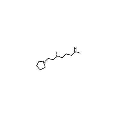 CNCCCNCCN1CCCC1